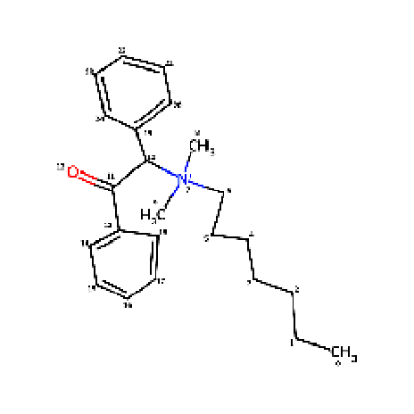 CCCCCCC[N+](C)(C)C(C(=O)c1ccccc1)c1ccccc1